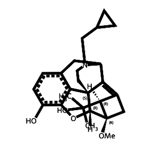 CO[C@@]12CC(=C3C4Cc5ccc(O)c6c5[C@@]3(CCN4CC3CC3)[C@H]1O6)[C@@H]2C(C)(C)O